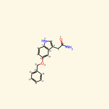 NC(=O)Cc1c[nH]c2ccc(OCc3ccccc3)cc12